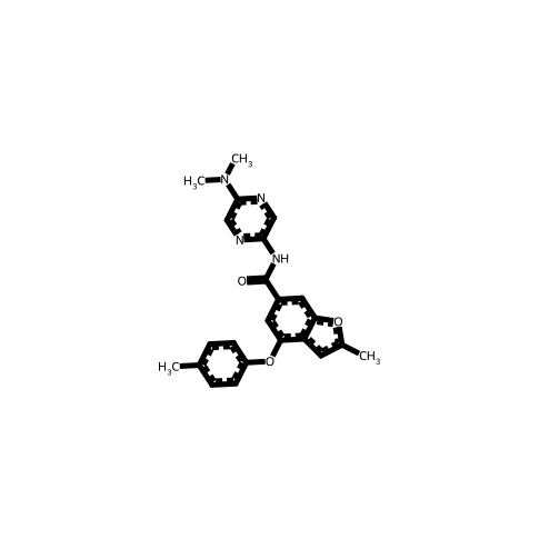 Cc1ccc(Oc2cc(C(=O)Nc3cnc(N(C)C)cn3)cc3oc(C)cc23)cc1